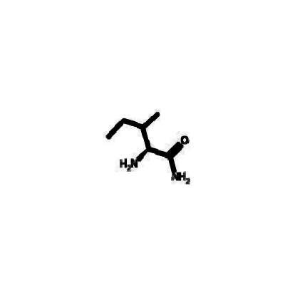 CCC(C)[C@H](N)C(N)=O